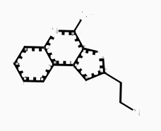 NCCc1cc2c(o1)c(N)nc1ccccc12